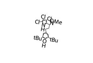 CO/N=C(/CCc1cc(C(C)(C)C)c(O)c(C(C)(C)C)c1)c1[nH]c(Cl)c(Cl)c1Cl